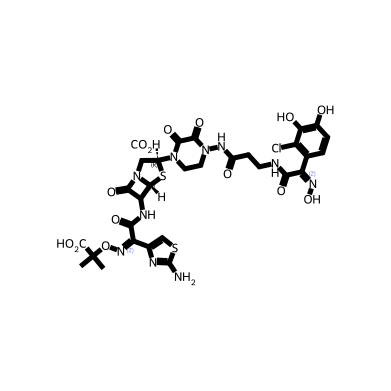 CC(C)(O/N=C(\C(=O)NC1C(=O)N2C[C@@](C(=O)O)(N3CCN(NC(=O)CCNC(=O)/C(=N\O)c4ccc(O)c(O)c4Cl)C(=O)C3=O)S[C@H]12)c1csc(N)n1)C(=O)O